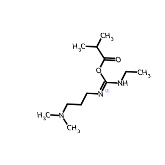 CCN/C(=N/CCCN(C)C)OC(=O)C(C)C